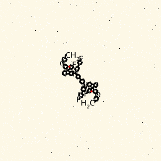 C=Cc1ccc(Oc2ccc(C3(c4ccc(F)cc4)c4ccccc4-c4ccc(N(c5ccc(-c6ccc(F)cc6)cc5)c5ccc(-c6ccc(N(c7ccc(-c8ccc(F)cc8)cc7)c7ccc8c(c7)C(c7ccc(F)cc7)(c7ccc(Oc9ccc(C=C)cc9)cc7)c7ccccc7-8)cc6)cc5)cc43)cc2)cc1